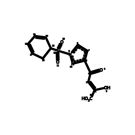 O=C(O)C(O)=CC(=O)c1ccn(S(=O)(=O)C2C=CC=CC2)n1